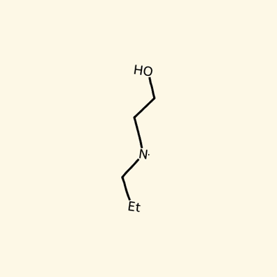 CCC[N]CCO